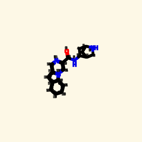 O=C(NC1CC2CC1CN2)c1cn2c(cn1)cc1ccccc12